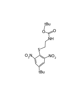 CC(C)(C)OC(=O)NCCSc1c([N+](=O)[O-])cc(C(C)(C)C)cc1[N+](=O)[O-]